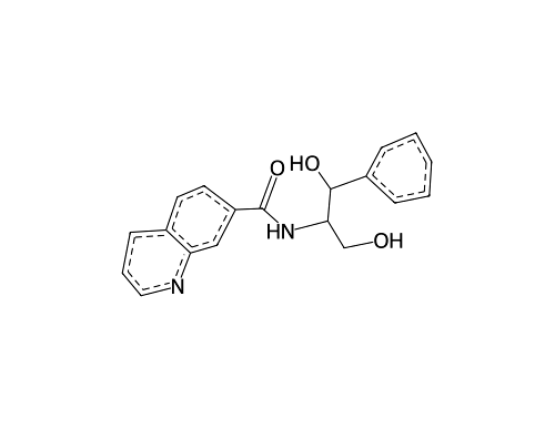 O=C(NC(CO)C(O)c1ccccc1)c1ccc2cccnc2c1